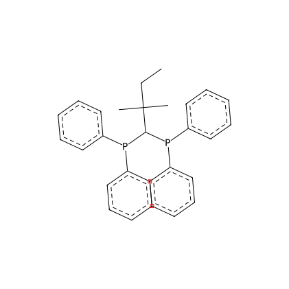 CCC(C)(C)C(P(c1ccccc1)c1ccccc1)P(c1ccccc1)c1ccccc1